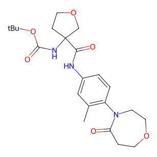 Cc1cc(NC(=O)C2(NC(=O)OC(C)(C)C)CCOC2)ccc1N1CCOCCC1=O